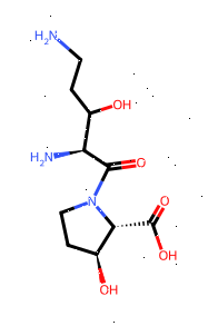 NCCC(O)[C@H](N)C(=O)N1CC[C@H](O)[C@H]1C(=O)O